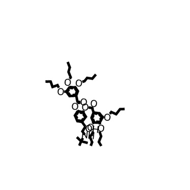 CCCCOc1cc(C(=O)Oc2ccc(C(O)CNC(C)(C)C)cc2OC(=O)c2cc(OCCCC)c(OCCCC)c(OCCCC)c2)cc(OCCCC)c1OCCCC